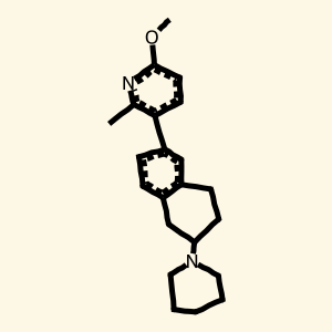 COc1ccc(-c2ccc3c(c2)CCC(N2CCCCC2)C3)c(C)n1